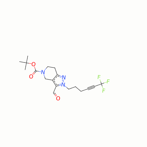 CC(C)(C)OC(=O)N1CCc2nn(CCCC#CC(F)(F)F)c(C=O)c2C1